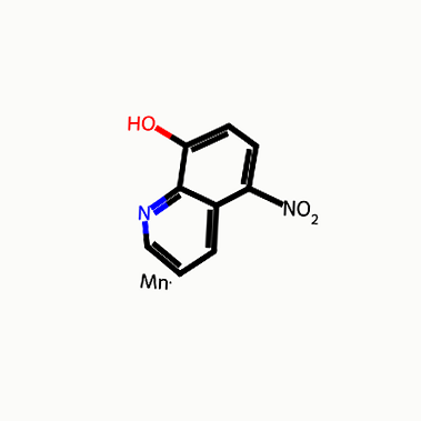 O=[N+]([O-])c1ccc(O)c2ncccc12.[Mn]